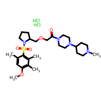 COc1cc(C)c(S(=O)(=O)N2CCCC2COCC(=O)N2CCN(C3CCN(C)CC3)CC2)c(C)c1C.Cl.Cl